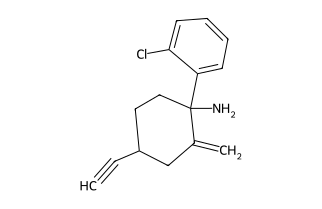 C#CC1CCC(N)(c2ccccc2Cl)C(=C)C1